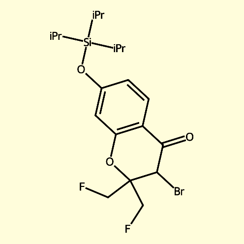 CC(C)[Si](Oc1ccc2c(c1)OC(CF)(CF)C(Br)C2=O)(C(C)C)C(C)C